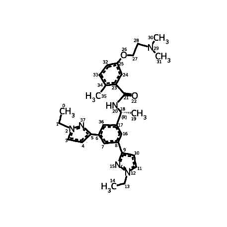 CCn1ccc(-c2cc(-c3ccn(CC)n3)cc([C@@H](C)NC(=O)c3cc(OCCN(C)C)ccc3C)c2)n1